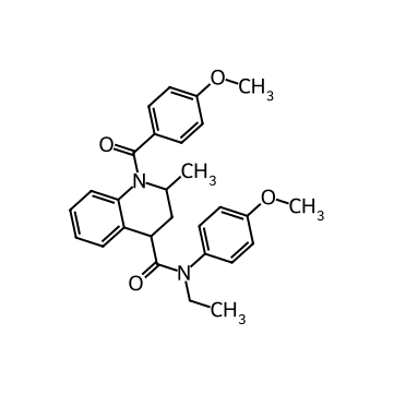 CCN(C(=O)C1CC(C)N(C(=O)c2ccc(OC)cc2)c2ccccc21)c1ccc(OC)cc1